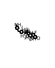 C[C@]12C=CC(=O)C=C1[C@@H](F)C[C@H]1C3C[C@H]4O[C@@H](c5ccc(Cc6ccc(N)cc6)cc5)O[C@@]4(C(=O)CO)[C@@]3(C)C[C@H](O)[C@@]12F